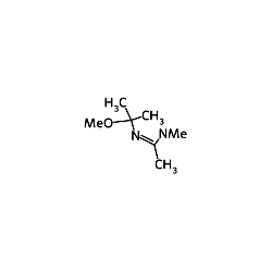 CN/C(C)=N\C(C)(C)OC